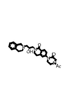 CC(=O)N1CCN(c2ccc3c(c2)CCN(C[C@H](O)CN2CCc4ccccc4C2)C3=O)C(=O)C1